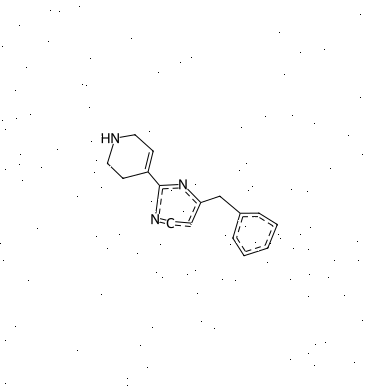 C1=C(c2nccc(Cc3ccccc3)n2)CCNC1